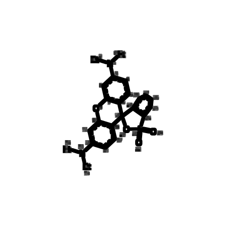 CCN(CC)c1ccc2c(c1)Oc1cc(N(CC)CC)ccc1C21OS(=O)(=O)c2ccccc21